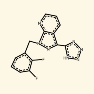 Fc1cccc(Cn2nc(-c3nnn[nH]3)c3cccnc32)c1F